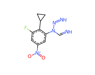 N=CN(N=N)c1cc([N+](=O)[O-])cc(F)c1C1CC1